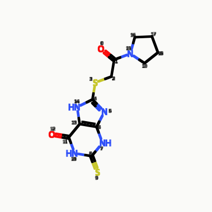 O=C(CSc1nc2[nH]c(=S)[nH]c(=O)c2[nH]1)N1CCCC1